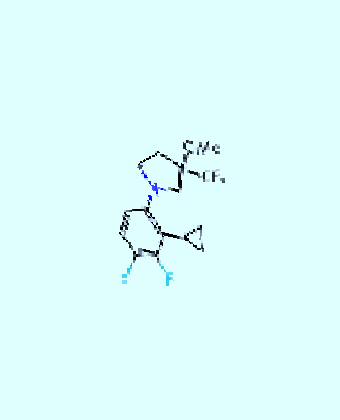 COC1(C(F)(F)F)CCN(c2ccc(F)c(F)c2C2CC2)C1